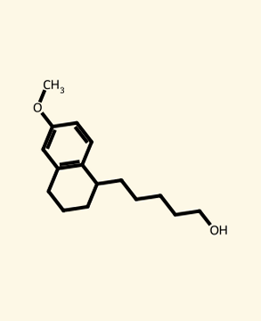 COc1ccc2c(c1)CCCC2CCCCCO